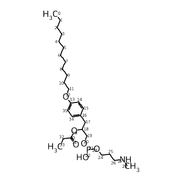 CCCCCCCCCCCCOc1ccc(CC(COP(O)OCCCNC)OC(=O)CC)cc1